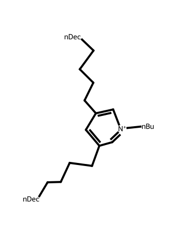 CCCCCCCCCCCCCCc1cc(CCCCCCCCCCCCCC)c[n+](CCCC)c1